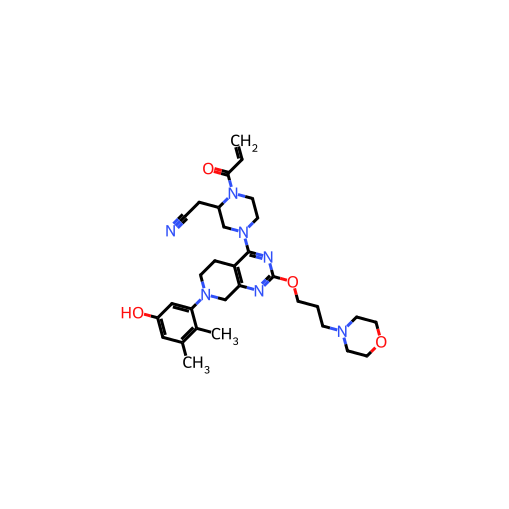 C=CC(=O)N1CCN(c2nc(OCCCN3CCOCC3)nc3c2CCN(c2cc(O)cc(C)c2C)C3)CC1CC#N